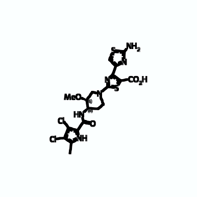 CO[C@H]1CN(c2nc(-c3csc(N)n3)c(C(=O)O)s2)CC[C@H]1NC(=O)c1[nH]c(C)c(Cl)c1Cl